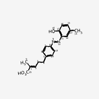 CC(=CCCc1ccc(N=Nc2cc(C)ccc2O)cc1)C(=O)O